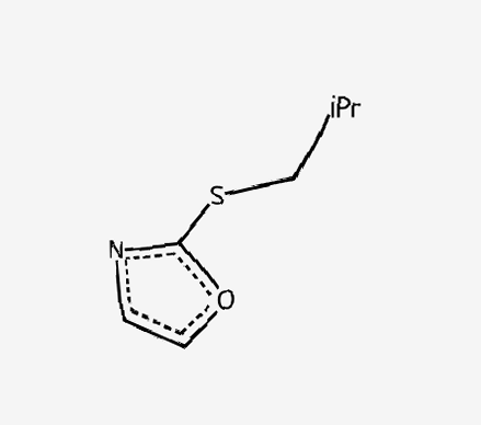 CC(C)CSc1ncco1